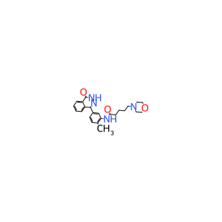 Cc1ccc(-c2n[nH]c(=O)c3ccccc23)cc1NC(=O)CCCCN1CCOCC1